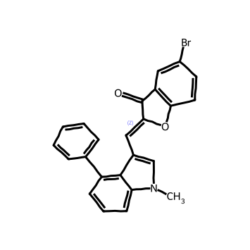 Cn1cc(/C=C2\Oc3ccc(Br)cc3C2=O)c2c(-c3ccccc3)cccc21